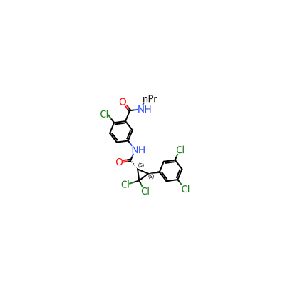 CCCNC(=O)c1cc(NC(=O)[C@@H]2[C@@H](c3cc(Cl)cc(Cl)c3)C2(Cl)Cl)ccc1Cl